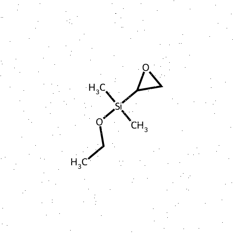 CCO[Si](C)(C)C1CO1